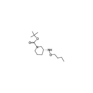 CCCCON[C@@H]1CCCN(C(=O)OC(C)(C)C)C1